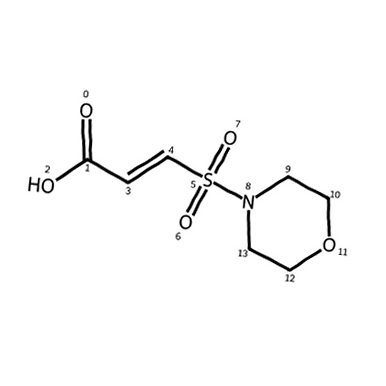 O=C(O)C=CS(=O)(=O)N1CCOCC1